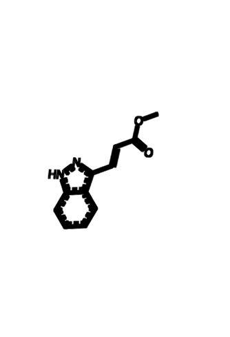 COC(=O)C=Cc1n[nH]c2ccccc12